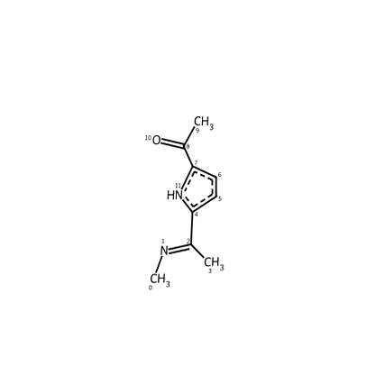 C/N=C(\C)c1ccc(C(C)=O)[nH]1